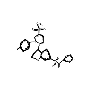 CS(=O)(=O)[C@@H]1CCN(C2CCOc3cc(S(=O)(=O)Nc4ncns4)ccc32)[C@H](c2ccc(F)cc2)C1